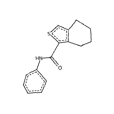 O=C(Nc1ccccc1)c1scc2c1CCCC2